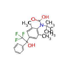 Cc1cc(C(O)(c2ccccc2)C(F)(F)F)cc(C)c1N(C(=O)O)C(C)(C)C